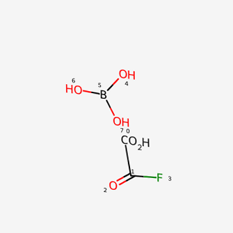 O=C(O)C(=O)F.OB(O)O